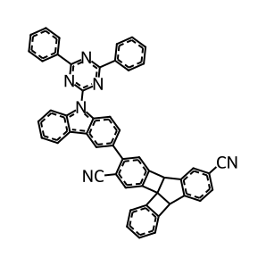 N#Cc1ccc2c(c1)C1c3cc(-c4ccc5c(c4)c4ccccc4n5-c4nc(-c5ccccc5)nc(-c5ccccc5)n4)c(C#N)cc3C13c1ccccc1C23